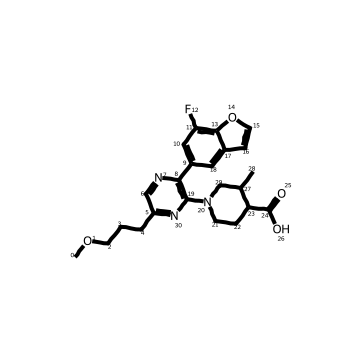 COCCCc1cnc(-c2cc(F)c3occc3c2)c(N2CCC(C(=O)O)C(C)C2)n1